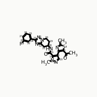 CC(=O)c1sc(C)nc1-c1cnn(C)c1C(=O)NC1CCn2nc(-c3cccc(F)c3)nc2C1